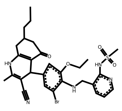 CCCC1CC(=O)C2=C(C1)NC(C)=C(C#N)C2c1cc(Br)c(NCc2cccnc2NS(C)(=O)=O)c(OCC)c1